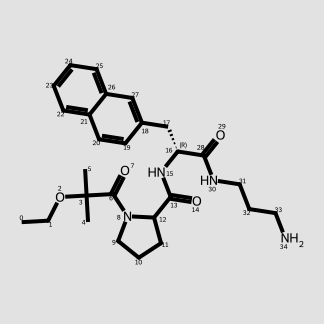 CCOC(C)(C)C(=O)N1CCCC1C(=O)N[C@H](Cc1ccc2ccccc2c1)C(=O)NCCCN